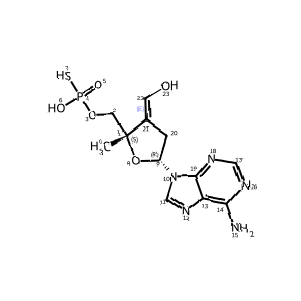 C[C@]1(COP(=O)(O)S)O[C@@H](n2cnc3c(N)ncnc32)C/C1=C\O